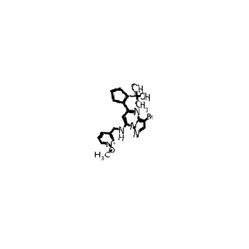 CO[n+]1cccc(CNc2cc(C3CCC[C@H]3C(C)(C)O)nc3c(Br)cnn23)c1